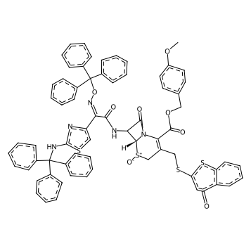 COc1ccc(COC(=O)C2=C(CSc3cc(=O)c4ccccc4s3)C[S+]([O-])[C@@H]3C(NC(=O)/C(=N\OC(c4ccccc4)(c4ccccc4)c4ccccc4)c4csc(NC(c5ccccc5)(c5ccccc5)c5ccccc5)n4)C(=O)N23)cc1